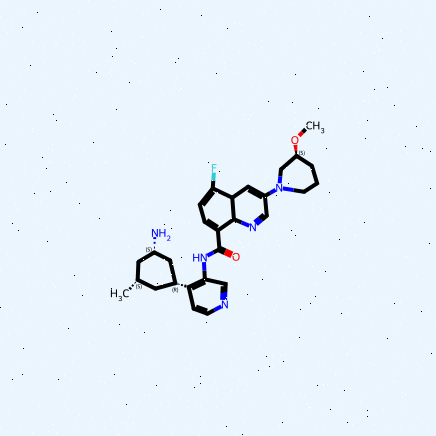 CO[C@H]1CCCN(C2=CC3C(F)=CC=C(C(=O)Nc4cnccc4[C@@H]4C[C@H](C)C[C@H](N)C4)C3N=C2)C1